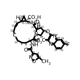 Cc1cc(C(=O)N[C@H]2CCCCC/C=C\[C@@H]3C[C@@]3(C(=O)O)NC(=O)[C@@H]3C[C@@H](Oc4nc5cc(F)ccc5nc4C(F)(F)F)CN3C2=O)no1